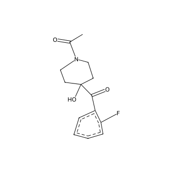 CC(=O)N1CCC(O)(C(=O)c2ccccc2F)CC1